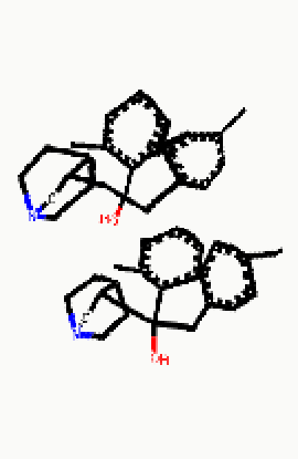 Cc1ccc(CC(O)(c2ccccc2C)C2CN3CCC2CC3)cc1.Cc1ccc(CC(O)(c2ccccc2C)C2CN3CCC2CC3)cc1